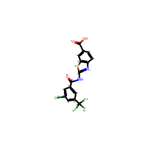 O=C(O)c1ccc2nc(NC(=O)c3cc(Cl)cc(C(F)(F)F)c3)sc2c1